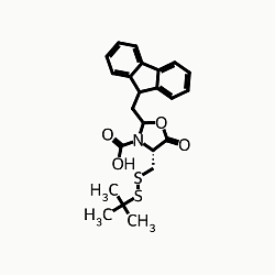 CC(C)(C)SSC[C@H]1C(=O)OC(CC2c3ccccc3-c3ccccc32)N1C(=O)O